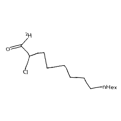 [2H]C(=O)C(Cl)CCCCCCCCCCCC